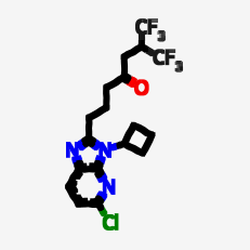 O=C(CCCc1nc2ccc(Cl)nc2n1C1CCC1)CC(C(F)(F)F)C(F)(F)F